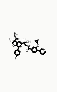 C[C@]1(C(N)=O)COc2c1cc([C@@](O)(CNC(=O)c1ccc(-c3cccnc3)c(OC3CC3)c1)C(F)(F)F)nc2-c1ccc(F)cc1